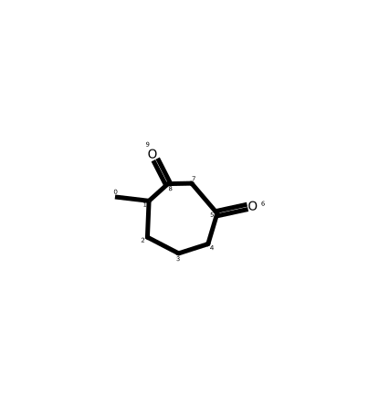 CC1CCCC(=O)CC1=O